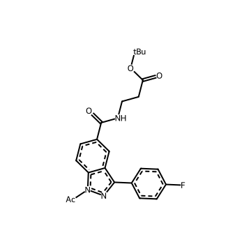 CC(=O)n1nc(-c2ccc(F)cc2)c2cc(C(=O)NCCC(=O)OC(C)(C)C)ccc21